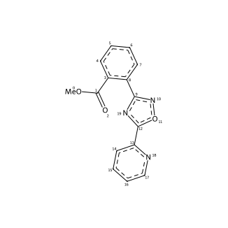 COC(=O)c1ccccc1-c1noc(-c2ccccn2)n1